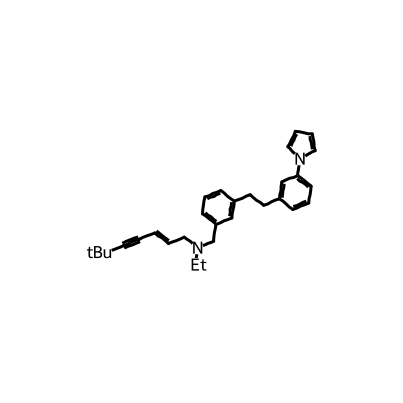 CCN(CC=CC#CC(C)(C)C)Cc1cccc(CCc2cccc(-n3cccc3)c2)c1